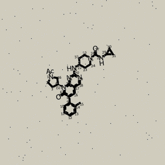 CC(=O)N1CC[C@H](n2c(=O)c(-c3ccccc3C)cc3cnc(NC4CCN(C(=O)NC5CC5)CC4)nc32)C1